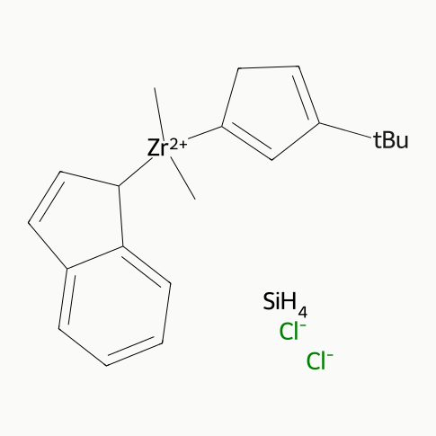 CC(C)(C)C1=CC[C]([Zr+2]([CH3])([CH3])[CH]2C=Cc3ccccc32)=C1.[Cl-].[Cl-].[SiH4]